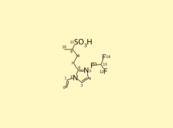 C=Cn1ccnc1CCC(C)S(=O)(=O)O.FC(F)F